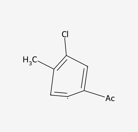 CC(=O)c1[c]cc(C)c(Cl)c1